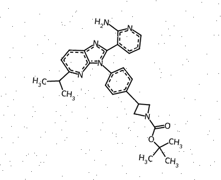 CC(C)c1ccc2nc(-c3cccnc3N)n(-c3ccc(C4CN(C(=O)OC(C)(C)C)C4)cc3)c2n1